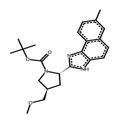 COC[C@@H]1C[C@@H](c2nc3c(ccc4cc(C)ccc43)[nH]2)N(C(=O)OC(C)(C)C)C1